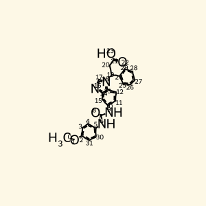 COc1ccc(NC(=O)Nc2ccc3c(c2)ncn3C(CC(=O)O)c2ccccc2)cc1